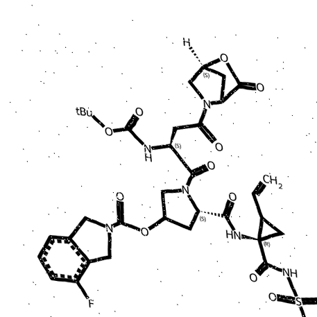 C=CC1C[C@]1(NC(=O)[C@@H]1CC(OC(=O)N2Cc3cccc(F)c3C2)CN1C(=O)[C@H](CC(=O)N1C[C@@H]2CC1C(=O)O2)NC(=O)OC(C)(C)C)C(=O)NS(=O)(=O)C1CC1